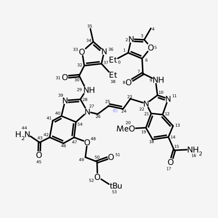 CCc1nc(C)oc1C(=O)Nc1nc2cc(C(N)=O)cc(OC)c2n1C/C=C/Cn1c(NC(=O)c2oc(C)nc2CC)nc2cc(C(N)=O)cc(OCC(=O)OC(C)(C)C)c21